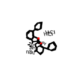 CCCCc1ccc(-c2ccccc2)c2c1[CH]([Zr]([CH3])([CH3])(=[SiH2])[CH]1C(C(C)C)=Cc3c(-c4ccccc4)cccc31)C(C)=C2.Cl.Cl